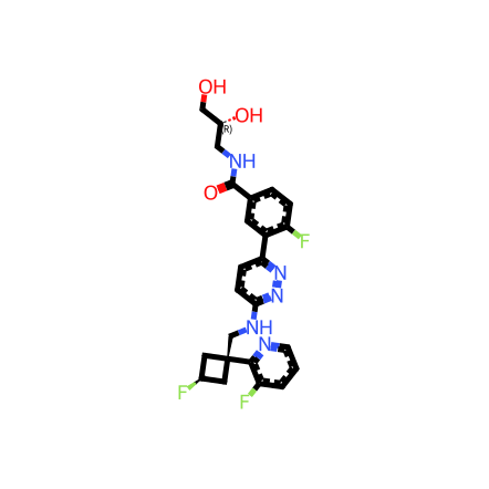 O=C(NC[C@@H](O)CO)c1ccc(F)c(-c2ccc(NC[C@]3(c4ncccc4F)C[C@H](F)C3)nn2)c1